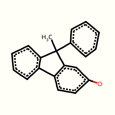 CC1(c2ccccc2)c2ccccc2-c2ccc([O])cc21